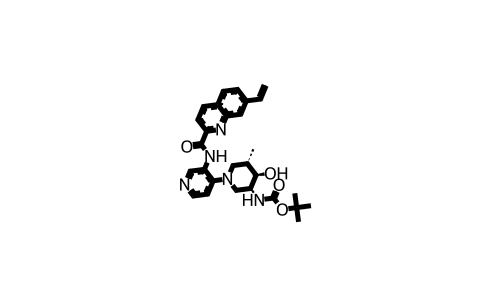 C=Cc1ccc2ccc(C(=O)Nc3cnccc3N3C[C@H](C)[C@@H](O)[C@H](NC(=O)OC(C)(C)C)C3)nc2c1